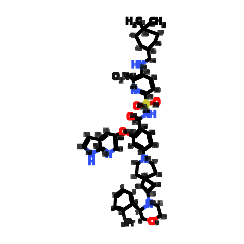 CC(C)c1ccccc1[C@@H]1COCCN1C1CC2(CCN(c3ccc(C(=O)NS(=O)(=O)c4ccc(NCC5CCC(C)(C)CC5)c([N+](=O)[O-])n4)c(Oc4cnc5[nH]ccc5c4)c3)CC2)C1